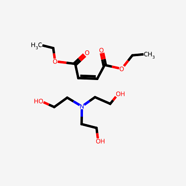 CCOC(=O)/C=C\C(=O)OCC.OCCN(CCO)CCO